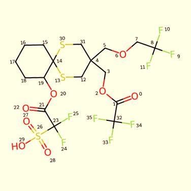 O=C(OCC1(COCC(F)(F)F)CSC2(CCCCC2OC(=O)C(F)(F)S(=O)(=O)O)SC1)C(F)(F)F